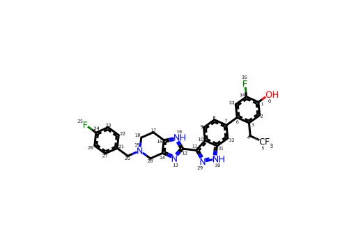 Oc1cc(CC(F)(F)F)c(-c2ccc3c(-c4nc5c([nH]4)CCN(Cc4ccc(F)cc4)C5)n[nH]c3c2)cc1F